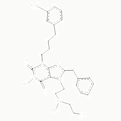 CCCn1c(=O)c2c(nc(Cc3ccccc3)n2CCN(CC)CCO)n(CCCCc2cccc(N)c2)c1=O